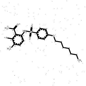 CCCCCCCOc1ccc(S(=O)(=O)Nc2ccc(C)c(F)c2C(C)=O)cc1